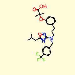 CC(C)Cc1nc(N(CCCc2cccc(OC(C)(C)C(=O)O)c2)Cc2ccc(C(F)(F)F)cc2)no1